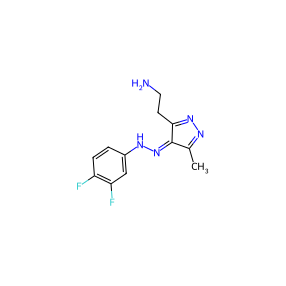 CC1=NN=C(CCN)C1=NNc1ccc(F)c(F)c1